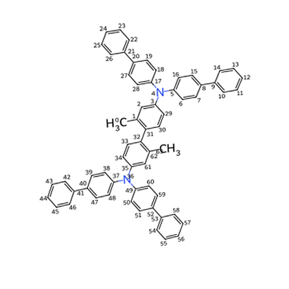 Cc1cc(N(c2ccc(-c3ccccc3)cc2)c2ccc(-c3ccccc3)cc2)ccc1-c1ccc(N(c2ccc(-c3ccccc3)cc2)c2ccc(-c3ccccc3)cc2)cc1C